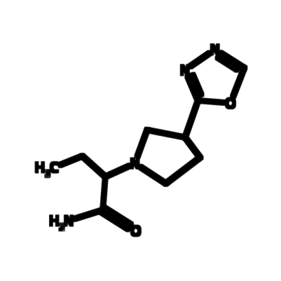 CCC(C(N)=O)N1CCC(c2nnco2)C1